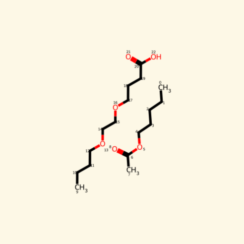 CCCCCOC(C)=O.CCCCOCCOCCCC(=O)O